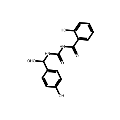 O=[C]C(NC(=O)NC(=O)c1ccccc1O)c1ccc(O)cc1